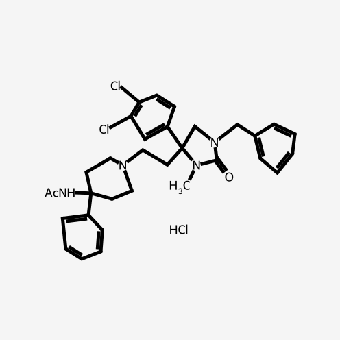 CC(=O)NC1(c2ccccc2)CCN(CCC2(c3ccc(Cl)c(Cl)c3)CN(Cc3ccccc3)C(=O)N2C)CC1.Cl